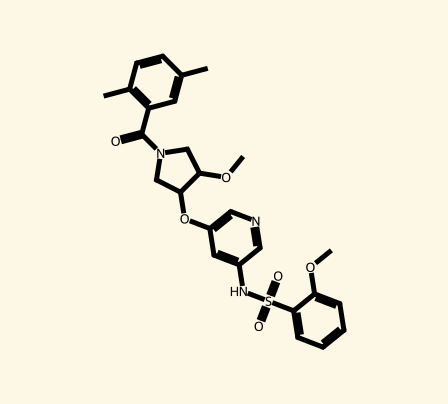 COc1ccccc1S(=O)(=O)Nc1cncc(OC2CN(C(=O)c3cc(C)ccc3C)CC2OC)c1